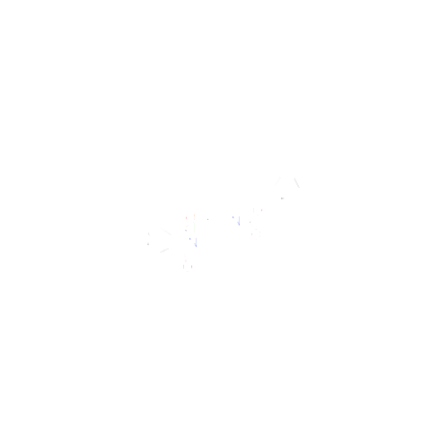 CC1C(CN2C(=O)c3ccccc3C2=O)C(F)(F)C(C)CN1C(=O)OCc1ccccc1